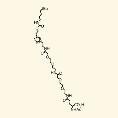 CC(=O)NC(CCC(=O)NCCOCCOCC(=O)NCCOCCOCC(=O)NCCn1cc(CCOC(=O)NCCCCC(C)(C)C)nn1)C(=O)O